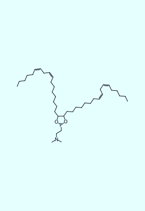 CCCCC/C=C\C/C=C\CCCCCCCC1OP(CCN(C)C)OC1CCCCCCC/C=C\C/C=C\CCCCC